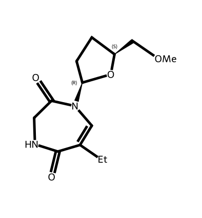 CCC1=CN([C@H]2CC[C@@H](COC)O2)C(=O)CNC1=O